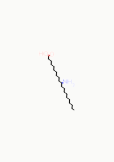 CCCCCCCCCCC(N)CCCCCCCCCC(=O)O